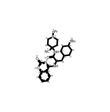 CCCN1CCC(C#N)(NC(=O)C(CC2CCC(C(C)(C)C)CC2)Nc2nc(=O)oc3ccccc23)CC1